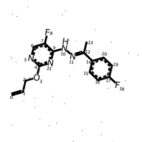 C=CCOc1ncc(F)c(N/N=C(\C)c2ccc(F)cc2)n1